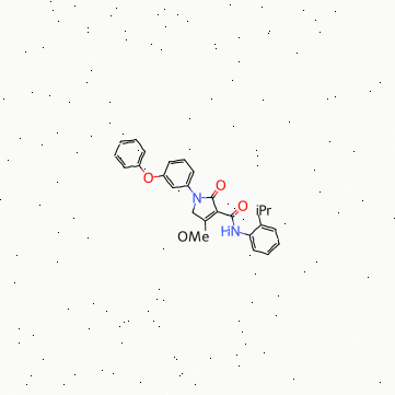 COC1=C(C(=O)Nc2ccccc2C(C)C)C(=O)N(c2cccc(Oc3ccccc3)c2)C1